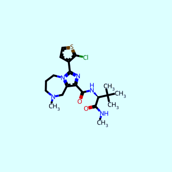 CNC(=O)[C@@H](NC(=O)c1nc(-c2ccsc2Cl)n2c1CN(C)CCC2)C(C)(C)C